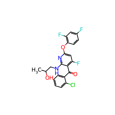 CC(O)CNc1nc(Oc2ccc(F)cc2F)cc(F)c1C(=O)c1ccccc1Cl